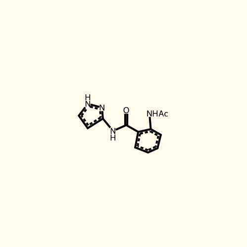 CC(=O)Nc1ccccc1C(=O)Nc1cc[nH]n1